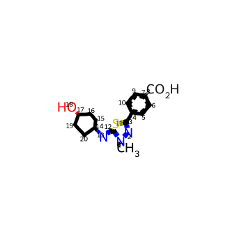 Cn1nc(-c2ccc(C(=O)O)cc2)sc1=NC1CCC(O)CC1